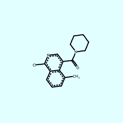 Cc1cccc2c(Cl)ncc(C(=O)N3CCCCC3)c12